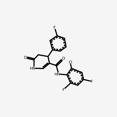 O=C1CC(c2cccc(F)c2)C(C(=O)Nc2c(F)cc(F)cc2Cl)=CN1